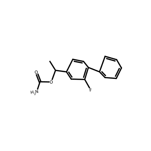 CC(OC(N)=O)c1ccc(-c2ccccc2)c(F)c1